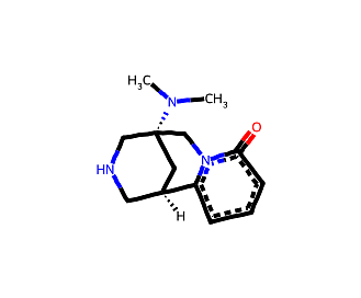 CN(C)[C@@]12CNC[C@@H](C1)c1cccc(=O)n1C2